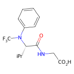 CC(C)[C@@H](C(=O)NCC(=O)O)N(c1ccccc1)C(F)(F)F